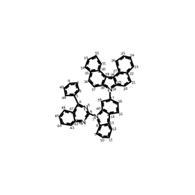 c1ccc(-c2nc(-n3c4ccccc4c4ccc(-n5c6ccc7ccccc7c6c6c7ccccc7ccc65)cc43)nc3ccccc23)cc1